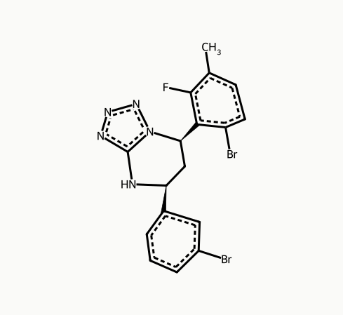 Cc1ccc(Br)c([C@H]2C[C@@H](c3cccc(Br)c3)Nc3nnnn32)c1F